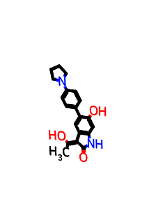 C/C(O)=C1\C(=O)Nc2cc(O)c(-c3ccc(N4CCCC4)cc3)cc21